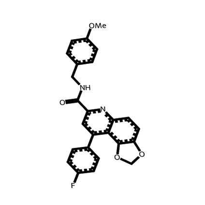 COc1ccc(CNC(=O)c2cc(-c3ccc(F)cc3)c3c4c(ccc3n2)OCO4)cc1